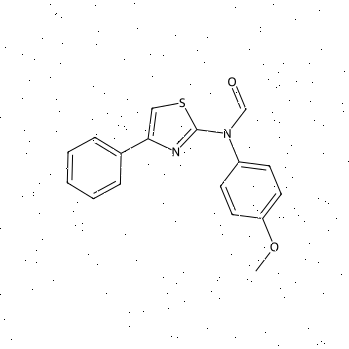 COc1ccc(N(C=O)c2nc(-c3ccccc3)cs2)cc1